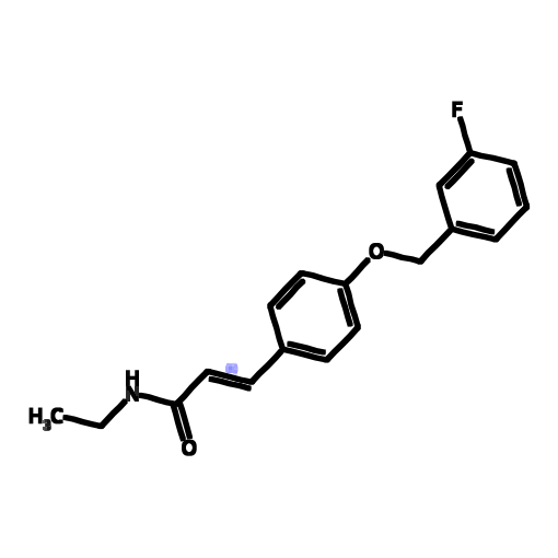 CCNC(=O)/C=C/c1ccc(OCc2cccc(F)c2)cc1